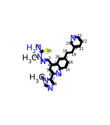 CN(/N=C/c1cc(-c2cncn2C)nc2ccc(CCc3cccnc3)cc12)C(N)=S